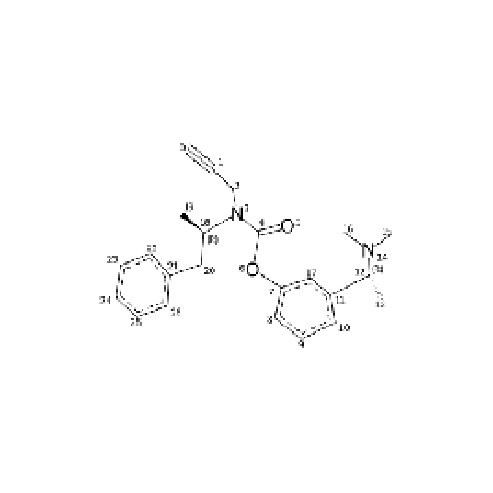 C#CCN(C(=O)Oc1cccc([C@@H](C)N(C)C)c1)[C@H](C)Cc1ccccc1